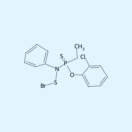 CCP(=S)(Oc1ccccc1Cl)N(SBr)c1ccccc1